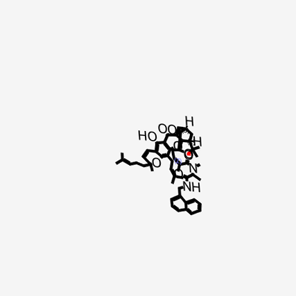 CC(C)=CCCC1(C)C=Cc2c(O)c3c(c(CC=C(C)C)c2O1)OC12C(=C[C@@H]4C[C@@H]1C(C)(C)OC2(C/C=C(/C)C(=O)N(C)C(C)C(=O)NCc1cccc2ccccc12)C4=O)C3=O